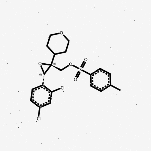 Cc1ccc(S(=O)(=O)OC[C@]2(C3CCOCC3)O[C@H]2c2ccc(Cl)cc2Cl)cc1